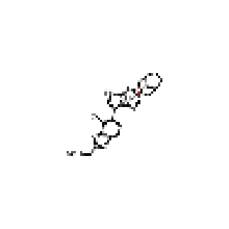 COCc1nc2ccc(-c3c[nH]c4nc(N5C6CCC5CC(N)C6)cnc34)c(Cl)c2s1